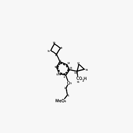 COCCOc1ncc(C2CCC2)cc1C1(C(=O)O)CC1